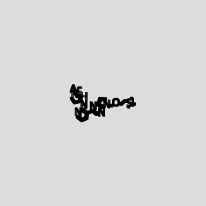 CC(=O)N1CCC(Nc2ncccc2-c2cnc3c(ccn3COCC[Si](C)(C)C)n2)C1